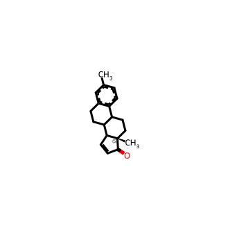 Cc1ccc2c(c1)CCC1C2CC[C@]2(C)C(=O)C=CC12